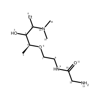 CCC(C(O)[C@H](C)OCCNC(=O)CN)N(C)C